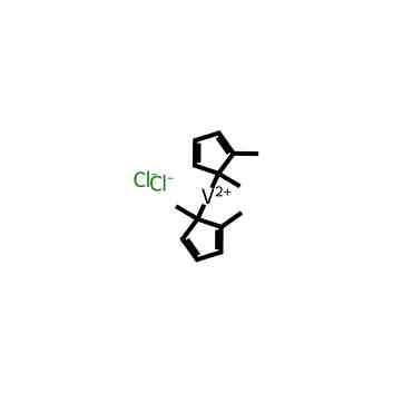 CC1=CC=C[C]1(C)[V+2][C]1(C)C=CC=C1C.[Cl-].[Cl-]